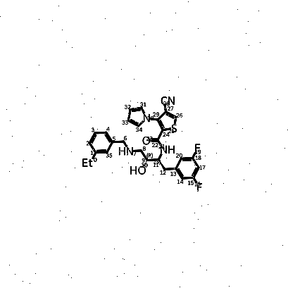 CCc1cccc(CNC[C@@H](O)[C@H](Cc2cc(F)cc(F)c2)NC(=O)c2scc(C#N)c2-n2cccc2)c1